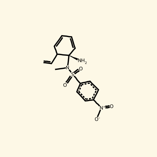 C=CC1C=CC=C[C@]1(N)N(C)S(=O)(=O)c1ccc([N+](=O)[O-])cc1